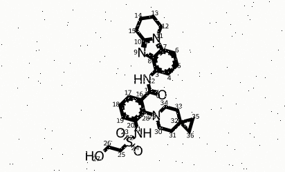 O=C(Nc1cccc2c1nc1n2CCCC1)c1cccc(NS(=O)(=O)CCO)c1N1CCC2(CC1)CC2